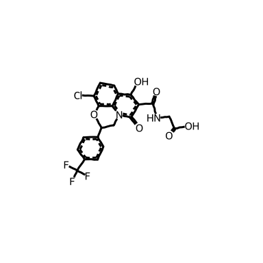 O=C(O)CNC(=O)c1c(O)c2ccc(Cl)c3c2n(c1=O)CC(c1ccc(C(F)(F)F)cc1)O3